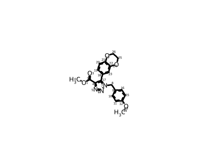 COC(=O)c1nnn(Cc2ccc(OC)cc2)c1-c1ccc2c(c1)OCCO2